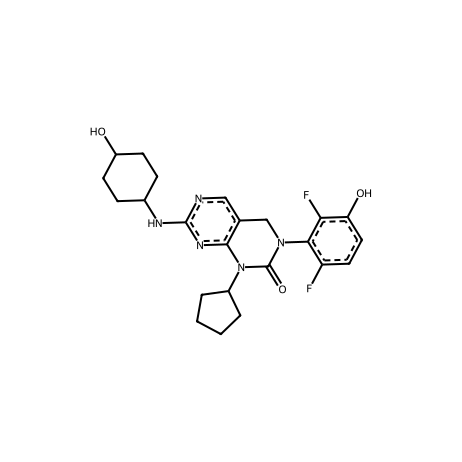 O=C1N(c2c(F)ccc(O)c2F)Cc2cnc(NC3CCC(O)CC3)nc2N1C1CCCC1